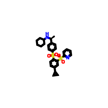 C[C@H](NC1CCCCC1)c1ccc(S(=O)(=O)c2ccc(C3CC3)cc2S(=O)(=O)c2ccccn2)cc1